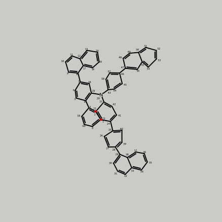 c1ccc(-c2ccc(-c3cccc4ccccc34)cc2N(c2ccc(-c3ccc(-c4cccc5ccccc45)cc3)cc2)c2ccc(-c3ccc4ccccc4c3)cc2)cc1